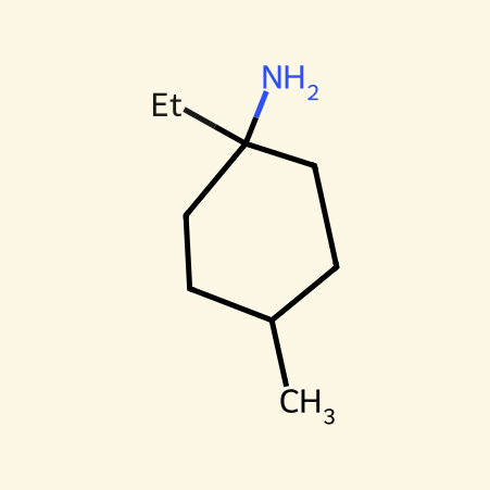 CCC1(N)CCC(C)CC1